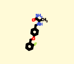 CC(NCc1ccc(OCc2ccccc2F)cc1)C(N)=O